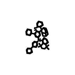 CC1(C)CCC(C)(C)c2c(N(c3ccc(-c4ccccc4)cc3)c3cc(-c4ccccc4)c4c(c3)C3(c5ccccc5S4)C4CC5CC(C4)CC3C5)cccc21